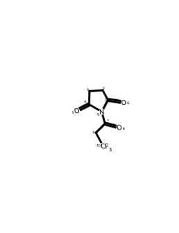 O=C1CCC(=O)N1C(=O)CC(F)(F)F